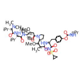 CCCNC(=O)Oc1ccc(C[C@H](NC(=O)[C@H](C)[C@@H](OC)[C@@H]2CCCN2C(=O)C[C@@H](OC)C([C@@H](C)CC)N(C)C(=O)[C@@H](NC(=O)[C@H](C(C)C)N(C)C)C(C)C)C(=O)NS(=O)(=O)C2CC2)cc1